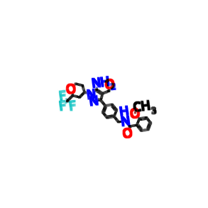 COc1ccccc1C(=O)NCc1ccc(-c2nn(C3CCOC(C(F)(F)F)C3)c(N)c2C=O)cc1